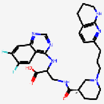 O=C(O)C(CNC(=O)[C@@H]1CCCN(CCCc2ccc3c(n2)NCCC3)C1)Nc1ncnc2cc(F)c(F)cc12